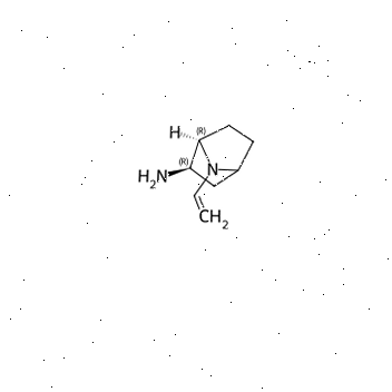 C=CN1C2CC[C@@H]1[C@H](N)C2